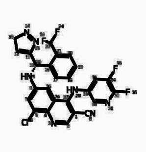 N#Cc1cnc2c(Cl)cc(N[C@H](C3=CCN=N3)c3ccccc3C(F)F)cc2c1Nc1cnc(F)c(F)c1